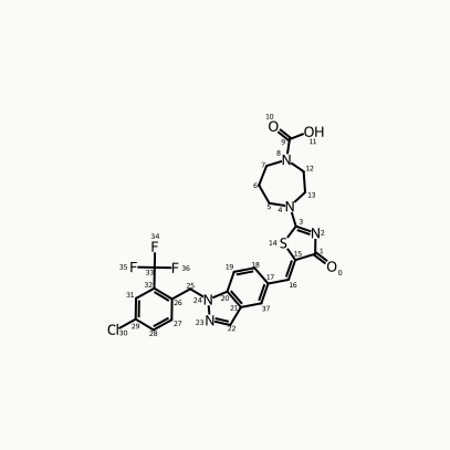 O=C1N=C(N2CCCN(C(=O)O)CC2)S/C1=C\c1ccc2c(cnn2Cc2ccc(Cl)cc2C(F)(F)F)c1